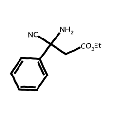 CCOC(=O)CC(N)(C#N)c1ccccc1